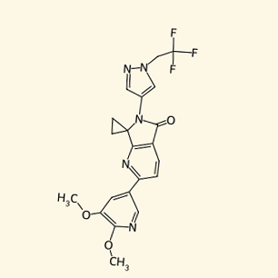 COc1cc(-c2ccc3c(n2)C2(CC2)N(c2cnn(CC(F)(F)F)c2)C3=O)cnc1OC